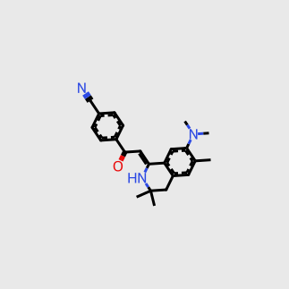 Cc1cc2c(cc1N(C)C)/C(=C/C(=O)c1ccc(C#N)cc1)NC(C)(C)C2